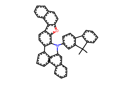 CC1(C)c2ccccc2-c2ccc(N(c3ccc4ccccc4c3)c3c(-c4ccccc4)ccc4c3oc3ccc5ccccc5c34)cc21